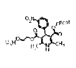 CCCCCOC(=O)C1=C(C)NC(C)=C(C(=O)OCCO[N+](=O)[O-])C1c1cccc([N+](=O)[O-])c1